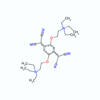 CC[N+](CC)(CC)CCOc1cc(=C(C#N)C#N)c(OCC[N+](CC)(CC)CC)cc1=C(C#N)C#N